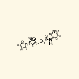 O=C(COCc1cc(-c2ccco2)no1)Nc1cccnc1